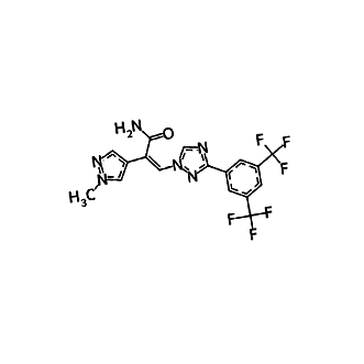 Cn1cc(C(=Cn2cnc(-c3cc(C(F)(F)F)cc(C(F)(F)F)c3)n2)C(N)=O)cn1